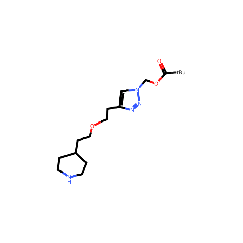 CC(C)(C)C(=O)OCn1cc(CCOCCC2CCNCC2)nn1